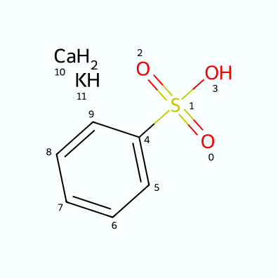 O=S(=O)(O)c1ccccc1.[CaH2].[KH]